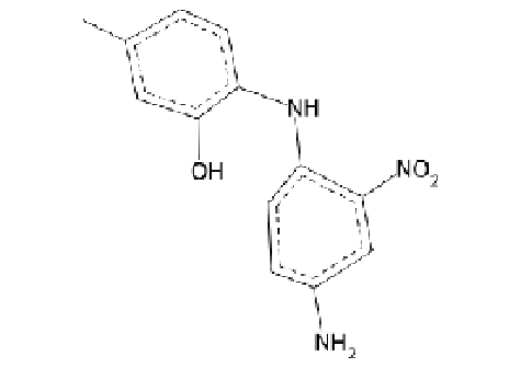 Cc1ccc(Nc2ccc(N)cc2[N+](=O)[O-])c(O)c1